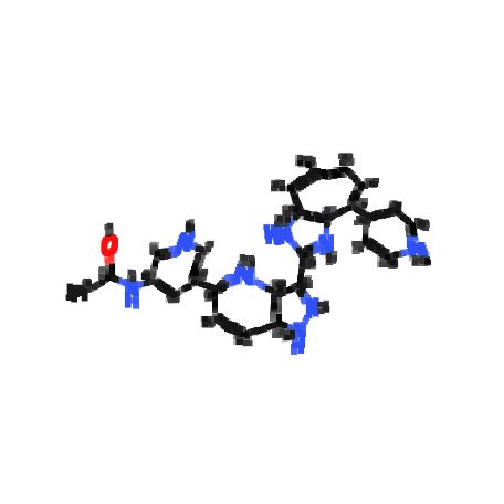 CC(C)C(=O)Nc1cncc(-c2ccc3[nH]nc(-c4nc5c([nH]4)C=C=CC=C5c4ccncc4)c3n2)c1